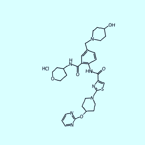 Cl.O=C(Nc1ccc(CN2CCC(O)CC2)cc1C(=O)NC1CCOCC1)c1csc(N2CCC(Oc3ncccn3)CC2)n1